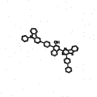 Oc1cc(-c2nc(-c3ccc(-c4ccccc4)cc3)c3sc4ccccc4c3n2)c2ccccc2c1-c1ccc(-c2ccc3c(c2)c2ccccc2n3-c2ccccc2)cc1